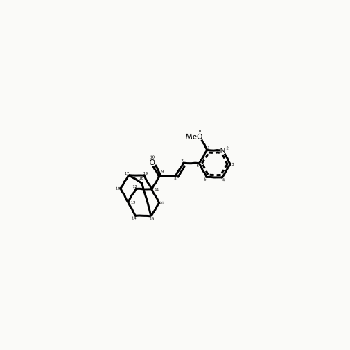 COc1ncccc1C=CC(=O)C12CC3CC(CC(C3)C1)C2